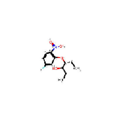 CC[C@@H](O)[C@@H](CC)Oc1cc(F)ccc1[N+](=O)[O-]